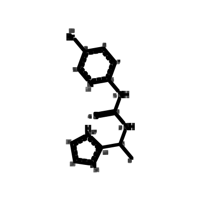 CC(NC(=S)Nc1ccc(Br)cn1)c1ncc[nH]1